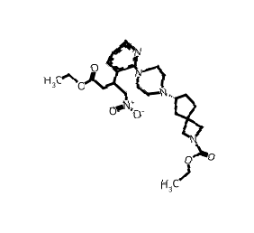 CCOC(=O)CC(C[N+](=O)[O-])c1cccnc1N1CCN([C@@H]2CCC3(C2)CN(C(=O)OCC)C3)CC1